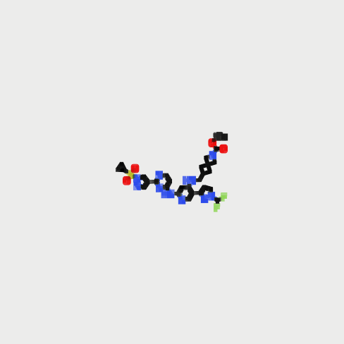 CC(C)(C)OC(=O)N1CC2(CC(CNc3cc(Nc4ccnc(-c5cnn(S(=O)(=O)C6CC6)c5)n4)ncc3-c3ccn(C(F)F)n3)C2)C1